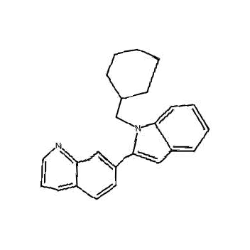 c1cnc2cc(-c3cc4ccccc4n3CC3CCCCC3)ccc2c1